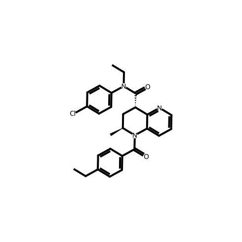 CCc1ccc(C(=O)N2c3cccnc3[C@@H](C(=O)N(CC)c3ccc(Cl)cc3)C[C@@H]2C)cc1